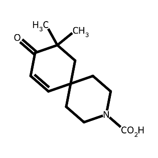 CC1(C)CC2(C=CC1=O)CCN(C(=O)O)CC2